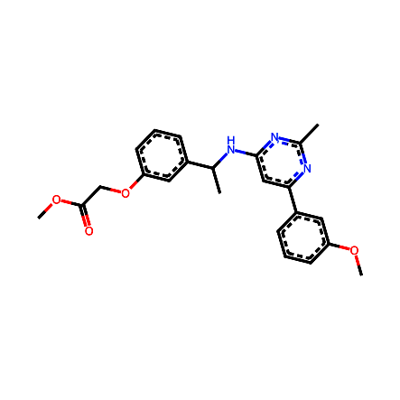 COC(=O)COc1cccc(C(C)Nc2cc(-c3cccc(OC)c3)nc(C)n2)c1